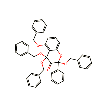 O=C1C(OCc2ccccc2)(c2ccccc2)Oc2cccc(OCc3ccccc3)c2C1(OCc1ccccc1)OCc1ccccc1